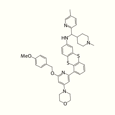 COc1ccc(COc2cc(N3CCOCC3)cc(-c3cccc4c3Sc3ccc(NC(c5ccc(C)cn5)C5CCN(C)CC5)cc3S4)n2)cc1